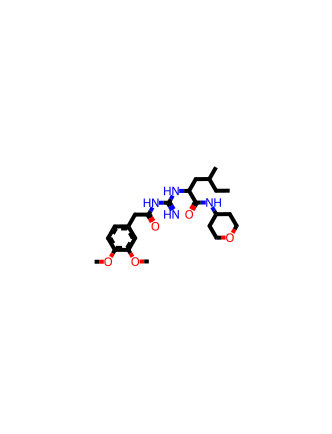 CCC(C)CC(NC(=N)NC(=O)Cc1ccc(OC)c(OC)c1)C(=O)NC1CCOCC1